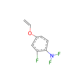 C=COc1ccc(N(F)F)c(F)c1